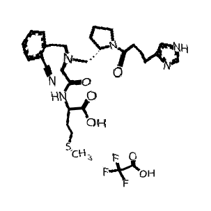 CSCCC(NC(=O)CN(Cc1ccccc1C#N)C[C@@H]1CCCN1C(=O)CCc1c[nH]cn1)C(=O)O.O=C(O)C(F)(F)F